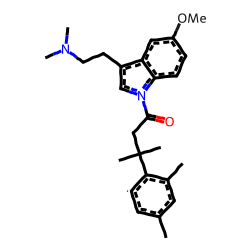 COc1ccc2c(c1)c(CCN(C)C)cn2C(=O)CC(C)(C)c1[c]cc(C)cc1C